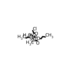 CCCCOC(=O)N(C)P(=O)(SCCC)N(C)C(=O)CCl